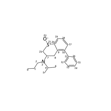 CCCN(C(C)C)C1Cc2c(-c3ccccc3)cccc2[S+]([O-])C1